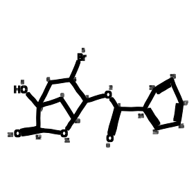 O=C(OC1C(Br)CC2(O)CC1OC2=O)c1ccccc1